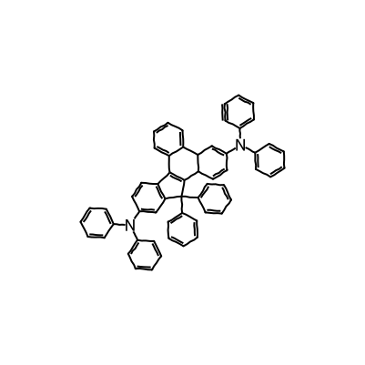 c1cccc(N(C2=CC3c4ccccc4C4=C(C3C=C2)C(c2ccccc2)(c2ccccc2)c2cc(N(c3ccccc3)c3ccccc3)ccc24)c2ccccc2)c#1